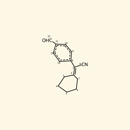 N#CC(=C1CCCCC1)c1ccc(C=O)cc1